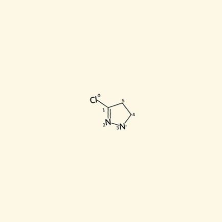 ClC1=N[N]CC1